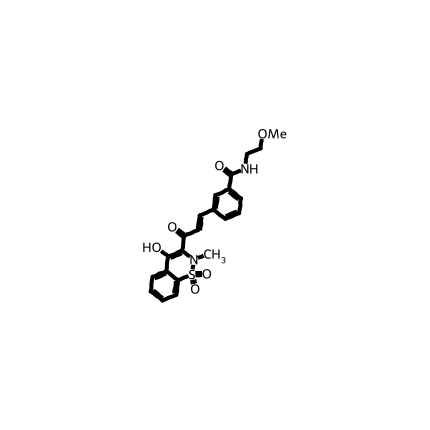 COCCNC(=O)c1cccc(/C=C/C(=O)C2=C(O)c3ccccc3S(=O)(=O)N2C)c1